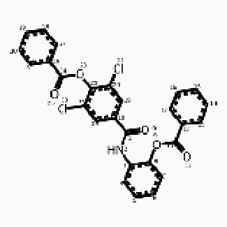 O=C(Nc1ccccc1OC(=O)c1ccccc1)c1cc(Cl)c(OC(=O)c2ccccc2)c(Cl)c1